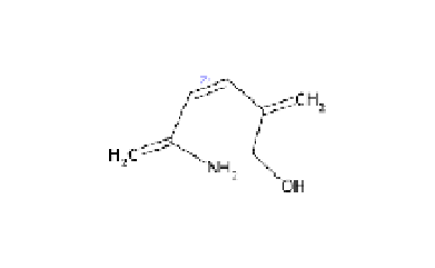 C=C(N)/C=C\C(=C)CO